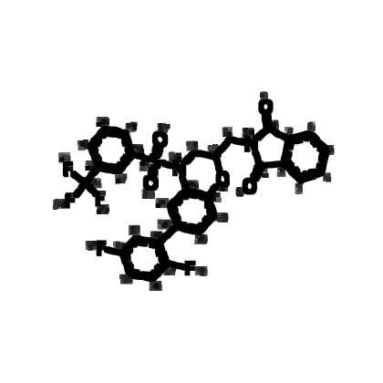 O=C1c2ccccc2C(=O)N1CC1CN(S(=O)(=O)c2cccc(C(F)(F)F)c2)c2cc(-c3cc(F)ccc3F)ccc2O1